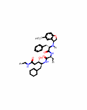 CC(=O)N(C1COc2ccc(C(=O)O)cc21)[C@@H](Cc1ccccc1)C(=O)N[C@@H](CC(C)C)C(=O)N[C@@H](CC1CCCCC1)[C@@H](O)CC(=O)NCC(C)C